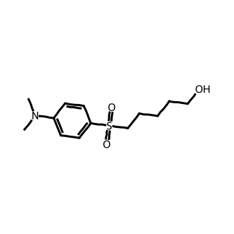 CN(C)c1ccc(S(=O)(=O)CCCCCO)cc1